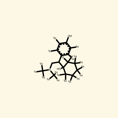 [2H]c1c([2H])c(C(CN(C([2H])([2H])[2H])C([2H])([2H])[2H])C2(O)C([2H])([2H])C([2H])([2H])C([2H])([2H])C([2H])([2H])C2([2H])[2H])c([2H])c([2H])c1O